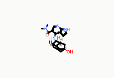 CN(C)C(=O)c1cnc2[nH]ccc2c1N[C@H]1[C@@H]2CC3C[C@H]1C[C@@](O)(C3)C2